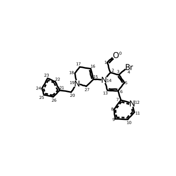 O=CC1C(Br)=CC(c2ccccn2)=CN1C1=CCCN(Cc2ccccc2)C1